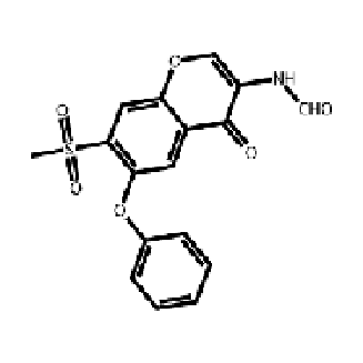 CS(=O)(=O)c1cc2occ(NC=O)c(=O)c2cc1Oc1ccccc1